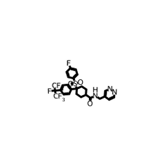 O=C(NCc1ccnnc1)C1CCC(c2ccc(C(F)(C(F)(F)F)C(F)(F)F)cc2)(S(=O)(=O)c2ccc(F)cc2)CC1